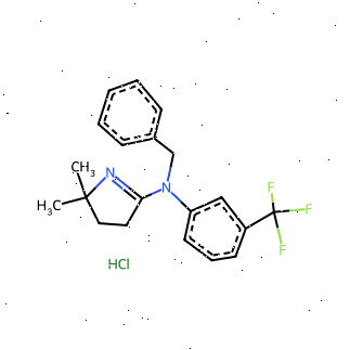 CC1(C)CCC(N(Cc2ccccc2)c2cccc(C(F)(F)F)c2)=N1.Cl